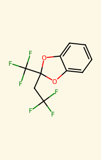 FC(F)(F)CC1(C(F)(F)F)Oc2ccccc2O1